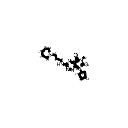 Cn1c(=O)c2nc(NCCCN3CCCCC3)nnc2n(C2CCCC2)c1=O